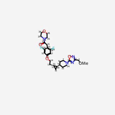 COCc1noc(N2CCC([C@H]3C[C@H]3CCOc3cc(F)c(CC(=O)N4CCOCC4)c(F)c3)CC2)n1